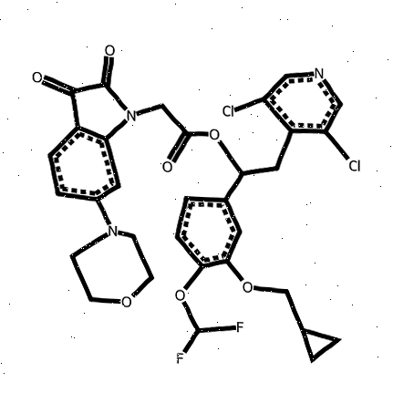 O=C(CN1C(=O)C(=O)c2ccc(N3CCOCC3)cc21)OC(Cc1c(Cl)cncc1Cl)c1ccc(OC(F)F)c(OCC2CC2)c1